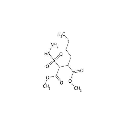 CCCCC(C(=O)OC)C(C(=O)OC)S(=O)(=O)NN